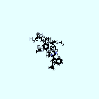 C=CC(=O)Nc1cc(NC/N=C(\C=C/N=C)c2cn(C3CC3)c3ccccc23)c(OC(F)F)cc1N(C)CCN(C)C